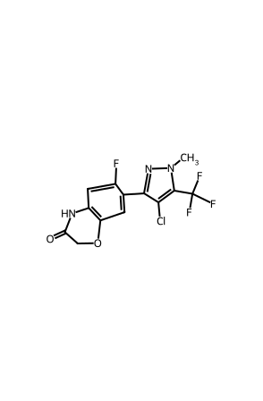 Cn1nc(-c2cc3c(cc2F)NC(=O)CO3)c(Cl)c1C(F)(F)F